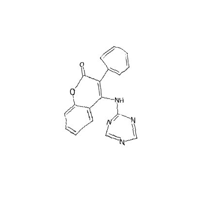 O=c1oc2ccccc2c(Nc2ncncn2)c1-c1ccccc1